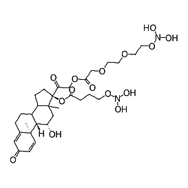 CC12C[C@H](O)[C@H]3C(CCC4=CC(=O)C=C[C@@]43C)C1CC[C@]2(OC(=O)CCCON(O)O)C(=O)COC(=O)COCCOCCON(O)O